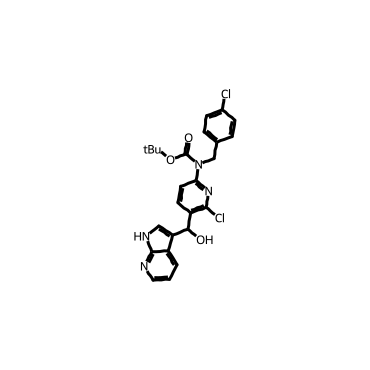 CC(C)(C)OC(=O)N(Cc1ccc(Cl)cc1)c1ccc(C(O)c2c[nH]c3ncccc23)c(Cl)n1